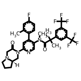 Cc1cc(F)ccc1-c1cc(N2C[C@H]3CCCN3CC2=O)ncc1N(C)C(=O)C(C)(C)c1cc(C(F)(F)F)cc(C(F)(F)F)c1